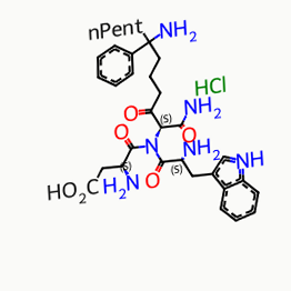 CCCCCC(N)(CCCC(=O)[C@@H](C(N)=O)N(C(=O)[C@@H](N)CC(=O)O)C(=O)[C@@H](N)Cc1c[nH]c2ccccc12)c1ccccc1.Cl